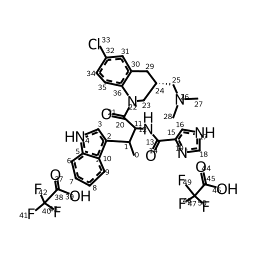 CC(c1c[nH]c2ccccc12)C(NC(=O)c1c[nH]cn1)C(=O)N1C[C@@H](CN(C)C)Cc2cc(Cl)ccc21.O=C(O)C(F)(F)F.O=C(O)C(F)(F)F